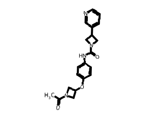 CC(=O)N1CC(Oc2ccc(NC(=O)N3CC(c4cccnc4)C3)cc2)C1